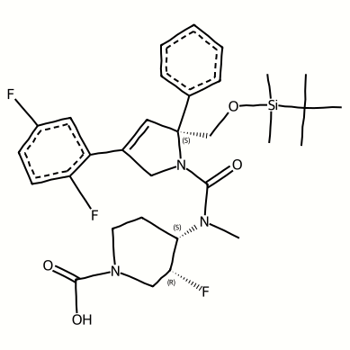 CN(C(=O)N1CC(c2cc(F)ccc2F)=C[C@@]1(CO[Si](C)(C)C(C)(C)C)c1ccccc1)[C@H]1CCN(C(=O)O)C[C@H]1F